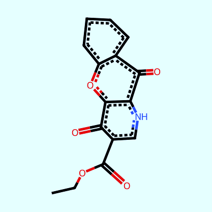 CCOC(=O)c1c[nH]c2c(=O)c3ccccc3oc2c1=O